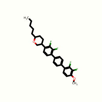 CCCCCC1CCC(c2ccc(-c3ccc(-c4ccc(OC)c(F)c4F)cc3)c(F)c2F)CO1